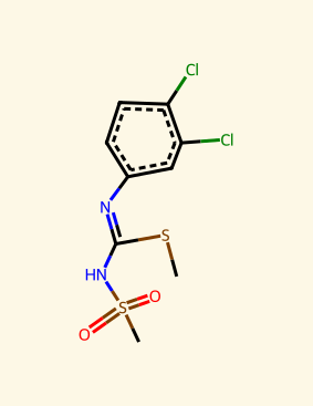 CS/C(=N\c1ccc(Cl)c(Cl)c1)NS(C)(=O)=O